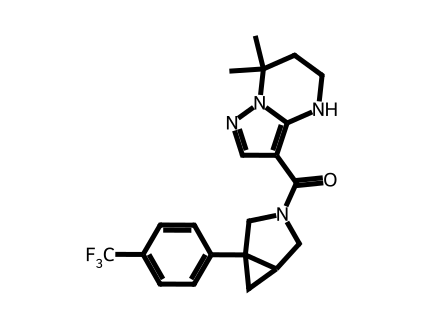 CC1(C)CCNc2c(C(=O)N3CC4CC4(c4ccc(C(F)(F)F)cc4)C3)cnn21